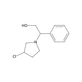 OCC(c1ccccc1)N1CCC(Cl)C1